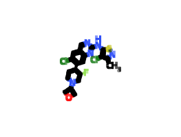 Cc1nsc(Nc2ncc3cc(Cl)c([C@@H]4CCN(C5COC5)C[C@H]4F)cc3n2)c1Cl